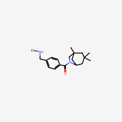 CCNCc1ccc(C(=O)N2CC3(C)CC2CC(C)(C)C3)cc1